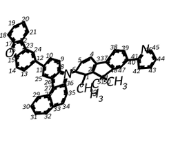 CC1C2=C(C=CC1n1c3ccc(-c4ccc5oc6ccccc6c5c4)cc3c3c4ccccc4ccc31)c1ccc(-c3ccccn3)cc1C2(C)C